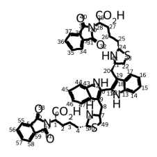 O=C(O)[C@H](CCC[C@@H]1NC(Cc2c(-c3[nH]c4ccccc4c3C[C@@H]3CS[C@H](CCC[C@@H](C(=O)O)N4C(=O)c5ccccc5C4=O)N3)[nH]c3ccccc23)CS1)N1C(=O)c2ccccc2C1=O